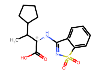 CC(C1CCCC1)[C@H](NC1=NS(=O)(=O)c2ccccc21)C(=O)O